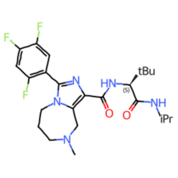 CC(C)NC(=O)[C@@H](NC(=O)c1nc(-c2cc(F)c(F)cc2F)n2c1CN(C)CCC2)C(C)(C)C